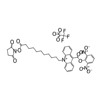 O=C(CCCCCCCCCC[n+]1c2ccccc2c(C(=O)Oc2c([N+](=O)[O-])cccc2[N+](=O)[O-])c2ccccc21)ON1C(=O)CCC1=O.O=S(=O)([O-])C(F)(F)F